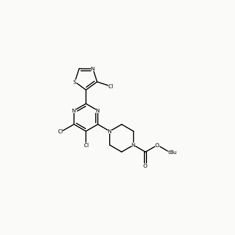 CC(C)(C)OC(=O)N1CCN(c2nc(-c3scnc3Cl)nc(Cl)c2Cl)CC1